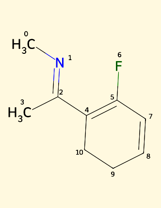 C/N=C(\C)C1=C(F)C=CCC1